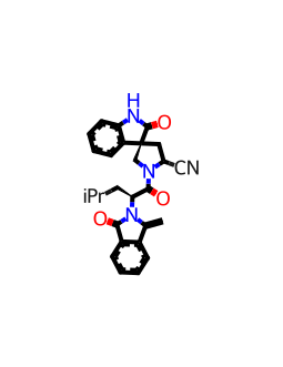 C=C1c2ccccc2C(=O)N1[C@@H](CC(C)C)C(=O)N1C[C@]2(CC1C#N)C(=O)Nc1ccccc12